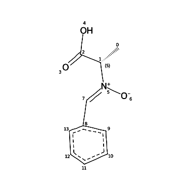 C[C@@H](C(=O)O)[N+]([O-])=Cc1ccccc1